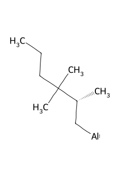 CCCC(C)(C)[C@H](C)[CH2][Al]